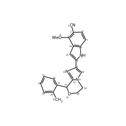 COc1c(C#N)ccc2[nH]c(-c3cn4c(n3)C(c3ccccc3C)OCC4)cc12